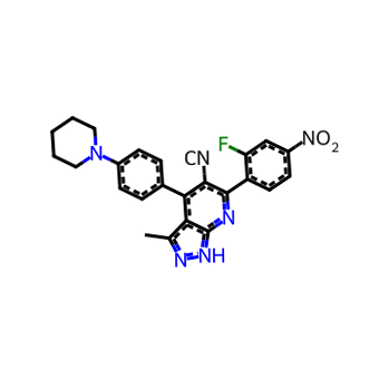 Cc1n[nH]c2nc(-c3ccc([N+](=O)[O-])cc3F)c(C#N)c(-c3ccc(N4CCCCC4)cc3)c12